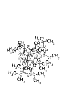 CC(C)c1cc(C(C)C)cc(C(O)(c2cc(C(C)C)cc(C(C)C)c2)[C@@H]2OC(C)(C)O[C@H]2C(O)(c2cc(C(C)C)cc(C(C)C)c2)c2cc(C(C)C)cc(C(C)C)c2)c1